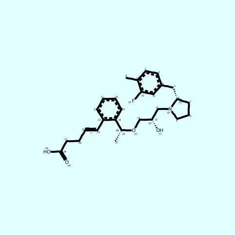 Cc1ccc(C[C@@H]2CCCN2C[C@H](O)CO[C@H](C)c2ccccc2/C=C/CCC(=O)O)cc1F